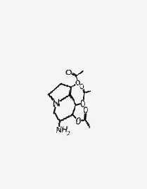 CC(=O)OC1CCN2CC(N)C(OC(C)=O)C(OC(C)=O)C12